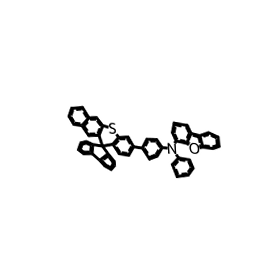 c1ccc(N(c2ccc(-c3ccc4c(c3)Sc3cc5ccccc5cc3C43c4ccccc4-c4ccccc43)cc2)c2cccc3c2oc2ccccc23)cc1